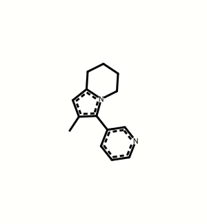 Cc1cc2n(c1-c1cccnc1)CCCC2